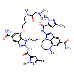 CCn1nc(C)cc1C(=O)Nc1nc2cc(C(N)=O)cc(OCCCN(C)C(=O)CN(C)C)c2n1CCC[C@H]1CCN(C)c2cc(C(N)=O)cc3nc(NC(=O)c4cc(C)nn4CC)n1c23